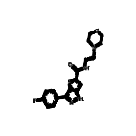 O=C(NCCN1CCOCC1)c1cc2[nH]nc(-c3ccc(F)cc3)c2s1